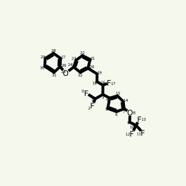 FC(F)C(c1ccc(OCC(F)(F)F)cc1)C(F)CCc1cccc(Oc2ccccc2)c1